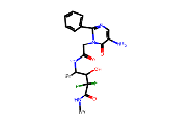 CCCNC(=O)C(F)(F)C(O)C(NC(=O)Cn1c(-c2ccccc2)ncc(N)c1=O)C(C)C